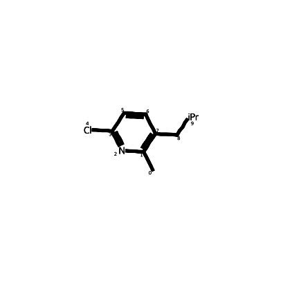 Cc1nc(Cl)ccc1CC(C)C